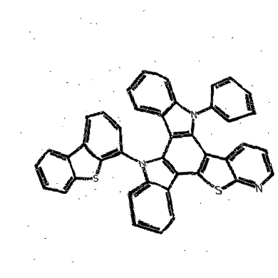 c1ccc(-n2c3ccccc3c3c4c(c5ccccc5n4-c4cccc5c4sc4ccccc45)c4sc5ncccc5c4c32)cc1